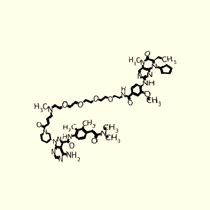 CC[C@@H]1C(=O)N(C)c2cnc(Nc3ccc(C(=O)NCCOCCOCCOCCOCCN(C)C/C=C/C(=O)N4CCC[C@@H](n5nc(C(=O)Nc6ccc(CC(=O)N(C)C)c(C)c6C)c6c(N)ncnc65)C4)cc3OC)nc2N1C1CCCC1